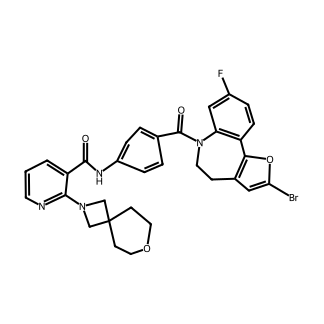 O=C(Nc1ccc(C(=O)N2CCc3cc(Br)oc3-c3ccc(F)cc32)cc1)c1cccnc1N1CC2(CCOCC2)C1